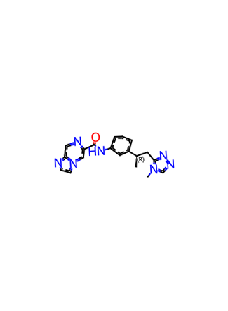 C[C@H](Cc1nncn1C)c1cccc(NC(=O)c2cn3ccnc3cn2)c1